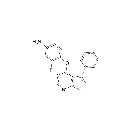 Nc1ccc(Oc2ncnc3ccc(-c4ccccc4)n23)c(F)c1